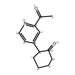 CC(=O)c1cc(C2CCCCC2=O)ccn1